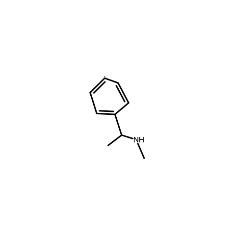 CNC(C)c1cc[c]cc1